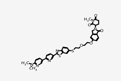 CN1C(=O)CCC(N2Cc3cc(OCCOCCSc4ccc5nc(-c6ccc(-c7ccc(N(C)C)nc7)nc6)sc5c4)ccc3C2=O)C1=O